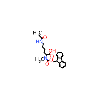 CCC(=O)NCCCCC(C(=O)O)N(C)C(=O)OCC1c2ccccc2-c2ccccc21